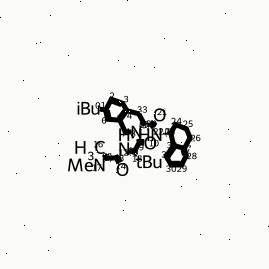 CCC(C)c1ccc2c(c1)CN(C(=O)[C@@H](NC(=O)[C@H](C)NC)C(C)(C)C)[C@H](C(=O)N[C@@H]1CCCc3ccccc31)C2